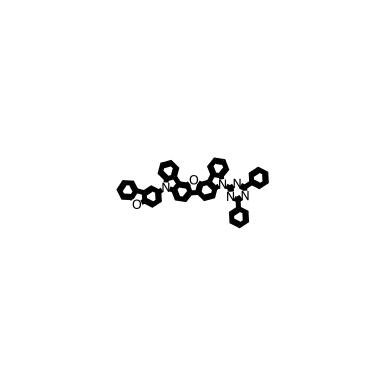 c1ccc(-c2nc(-c3ccccc3)nc(-n3c4ccccc4c4c5oc6c(ccc7c6c6ccccc6n7-c6ccc7oc8ccccc8c7c6)c5ccc43)n2)cc1